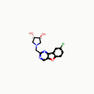 O[C@H]1CN(Cc2ncc3oc4ccc(Br)cc4c3n2)C[C@@H]1O